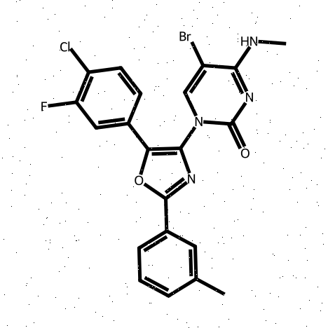 CNc1nc(=O)n(-c2nc(-c3cccc(C)c3)oc2-c2ccc(Cl)c(F)c2)cc1Br